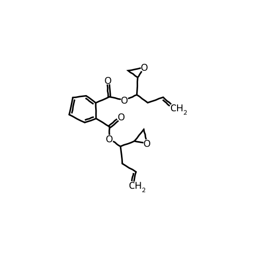 C=CCC(OC(=O)c1ccccc1C(=O)OC(CC=C)C1CO1)C1CO1